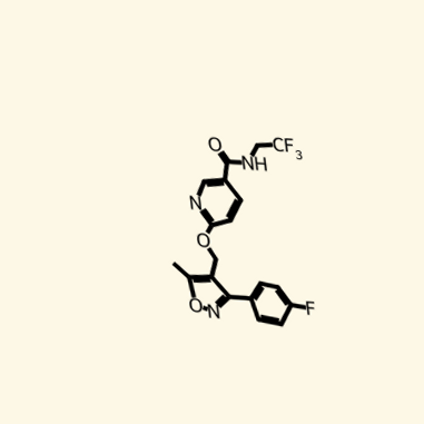 Cc1onc(-c2ccc(F)cc2)c1COc1ccc(C(=O)NCC(F)(F)F)cn1